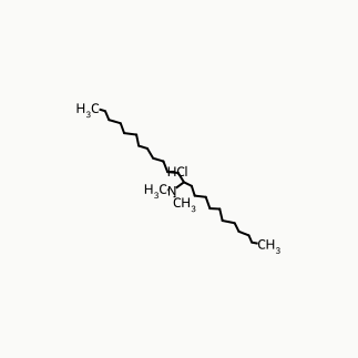 CCCCCCCCCCCCC(CCCCCCCCCCC)N(C)C.Cl